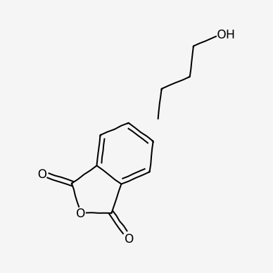 CCCCO.O=C1OC(=O)c2ccccc21